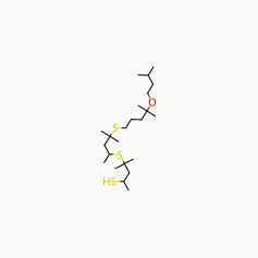 CC(C)CCOC(C)(C)CCCSC(C)(C)CC(C)SC(C)(C)CC(C)S